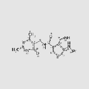 Cc1cc(C)c(CNC(=O)c2cccc(NC(C)C)c2C=N)c(=O)[nH]1